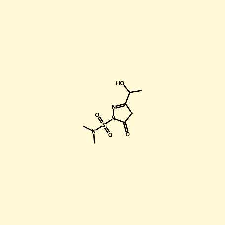 CC(O)C1=NN(S(=O)(=O)N(C)C)C(=O)C1